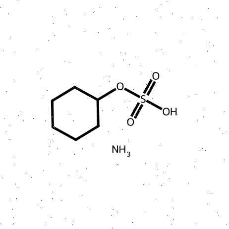 N.O=S(=O)(O)OC1CCCCC1